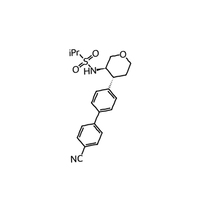 CC(C)S(=O)(=O)N[C@H]1COCC[C@@H]1c1ccc(-c2ccc(C#N)cc2)cc1